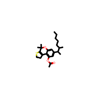 CCCCCC(C)C(C)c1cc(OC(C)=O)c2c(c1)OC(C)(C)C1=C2CCS1